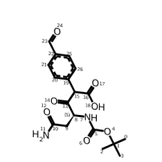 CC(C)(C)OC(=O)N[C@@H](CC(N)=O)C(=O)C(C(=O)O)c1ccc(C=O)cc1